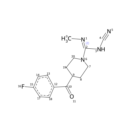 C/N=C(/NC#N)N1CCC(C(=O)c2ccc(F)cc2)CC1